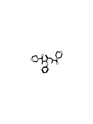 C=C(CC(C)C(=O)N1CCOCC1)C(Sc1ccccc1)C(C)C(=O)N1CCOCC1